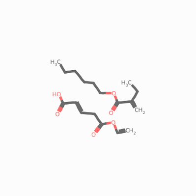 C=C(CC)C(=O)OCCCCCC.C=COC(=O)CC=CC(=O)O